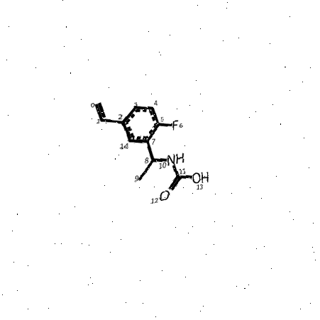 C=Cc1ccc(F)c(C(C)NC(=O)O)c1